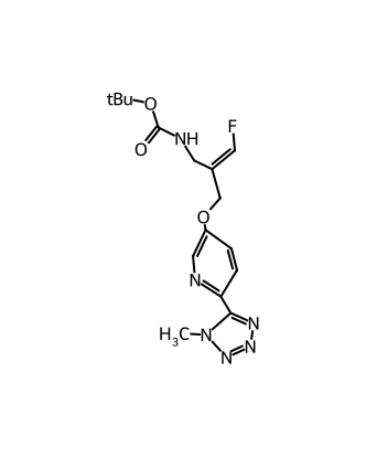 Cn1nnnc1-c1ccc(OC/C(=C/F)CNC(=O)OC(C)(C)C)cn1